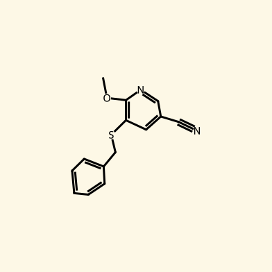 COc1ncc(C#N)cc1SCc1ccccc1